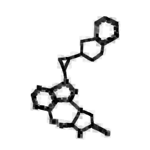 Nc1ncnc2c1c(N1CC(=O)NC1=S)nn2C1CC1C1CCc2ccccc2C1